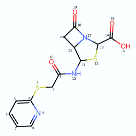 O=C(CSc1ccccn1)NC1SC(C(=O)O)N2C(=O)CC12